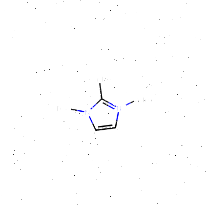 CCCCCCCCCCc1n(CCCCCCCCCC)cc[n+]1CCCCCC